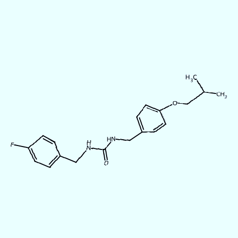 CC(C)COc1ccc(CNC(=O)NCc2ccc(F)cc2)cc1